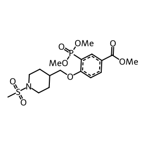 COC(=O)c1ccc(OCC2CCN(S(C)(=O)=O)CC2)c(P(=O)(OC)OC)c1